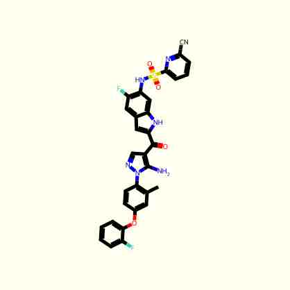 Cc1cc(Oc2ccccc2F)ccc1-n1ncc(C(=O)c2cc3cc(F)c(NS(=O)(=O)c4cccc(C#N)n4)cc3[nH]2)c1N